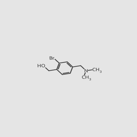 CN(C)Cc1ccc(CO)c(Br)c1